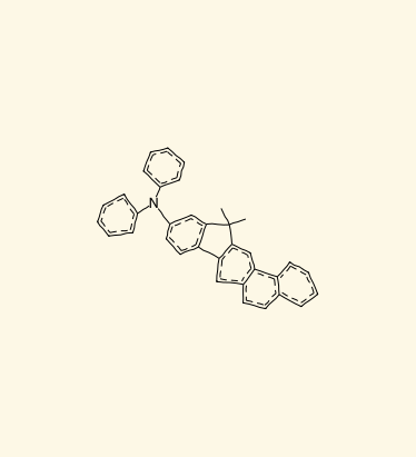 CC1(C)c2cc(N(c3ccccc3)c3ccccc3)ccc2-c2cc3ccc4ccccc4c3cc21